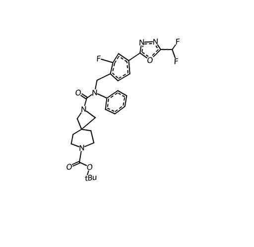 CC(C)(C)OC(=O)N1CCC2(CC1)CN(C(=O)N(Cc1ccc(-c3nnc(C(F)F)o3)cc1F)c1ccccc1)C2